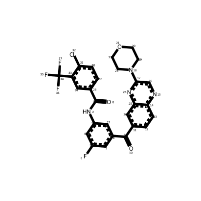 O=C(Nc1cc(F)cc(C(=O)c2ccc3ncc(N4CCOCC4)nc3c2)c1)c1ccc(Cl)c(C(F)(F)F)c1